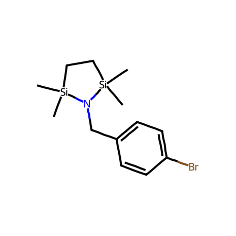 C[Si]1(C)CC[Si](C)(C)N1Cc1ccc(Br)cc1